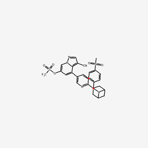 CS(=O)(=O)c1ccc(CN2C3CC2CN(c2ccc(-c4cc(OS(=O)(=O)C(F)(F)F)cn5ncc(C#N)c45)cn2)C3)cc1